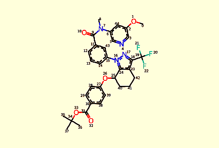 COc1cncc(N(C)C(=O)c2cccc(-n3nc(C(F)(F)F)c4c3C(Oc3ccc(C(=O)OC(C)(C)C)cc3)CCC4)c2)c1